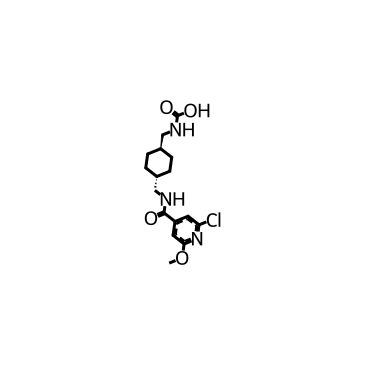 COc1cc(C(=O)NC[C@H]2CC[C@H](CNC(=O)O)CC2)cc(Cl)n1